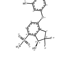 N#Cc1cncc(Oc2ccc(S(N)(=O)=O)c3c2CC(F)(F)[C@H]3O)c1